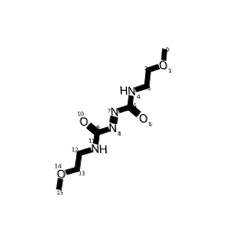 COCCNC(=O)N=NC(=O)NCCOC